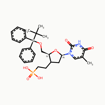 Cc1cn([C@H]2CC(CCP(=O)(O)O)[C@@H](CO[Si](c3ccccc3)(c3ccccc3)C(C)(C)C)O2)c(=O)[nH]c1=O